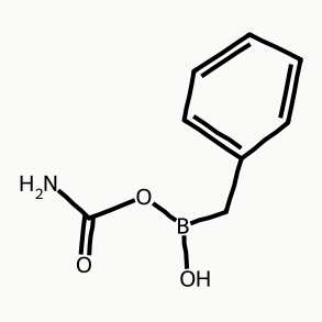 NC(=O)OB(O)Cc1ccccc1